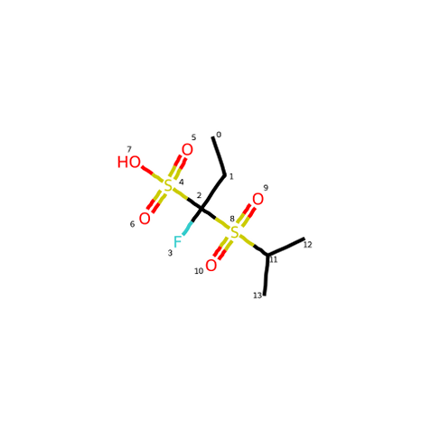 CCC(F)(S(=O)(=O)O)S(=O)(=O)C(C)C